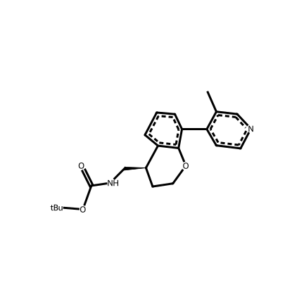 Cc1cnccc1-c1cccc2c1OCC[C@H]2CNC(=O)OC(C)(C)C